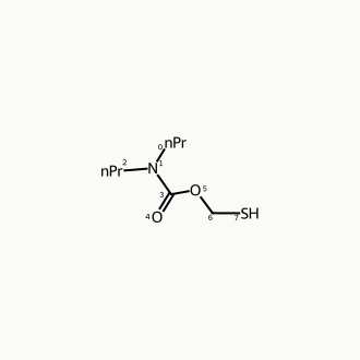 CCCN(CCC)C(=O)OCS